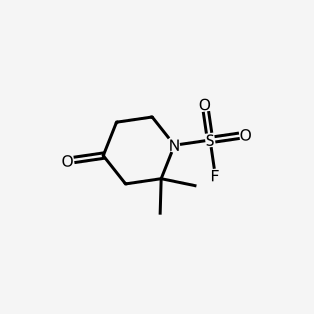 CC1(C)CC(=O)CCN1S(=O)(=O)F